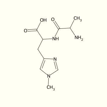 CC(N)C(=O)NC(Cc1cn(C)cn1)C(=O)O